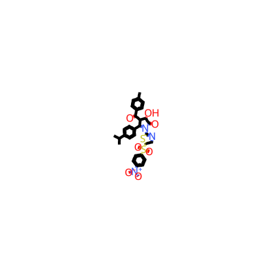 Cc1ccc(C(=O)C2C(O)C(=O)N(C3=NCC(S(=O)(=O)c4ccc([N+](=O)[O-])cc4)S3)C2c2ccc(C(C)C)cc2)cc1